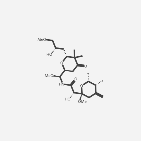 C=C1C[C@](OC)([C@H](O)C(=O)N[C@@H](OC)[C@@H]2CC(=O)C(C)(C)[C@@H](C[C@H](O)COC)O2)O[C@H](C)[C@@H]1C